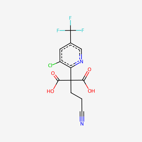 N#CCCC(C(=O)O)(C(=O)O)c1ncc(C(F)(F)F)cc1Cl